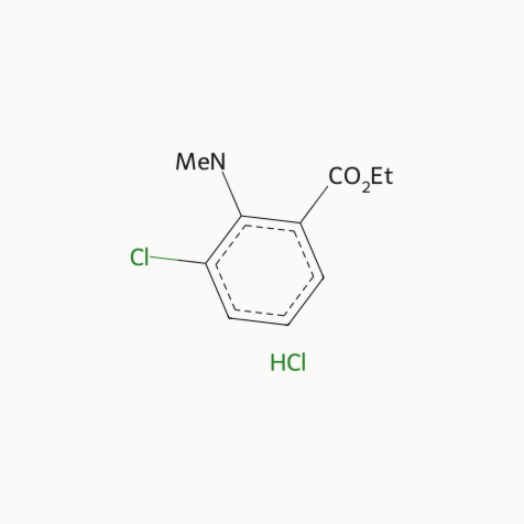 CCOC(=O)c1cccc(Cl)c1NC.Cl